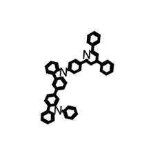 C1=CCCC(C2C=C(c3ccccc3)N=C(C3=CC=C(n4c5ccccc5c5cc(-c6ccc7c8ccccc8n(-c8ccccc8)c7c6)ccc54)CC3)C2)=C1